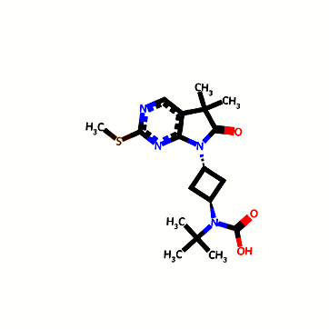 CSc1ncc2c(n1)N([C@H]1C[C@H](N(C(=O)O)C(C)(C)C)C1)C(=O)C2(C)C